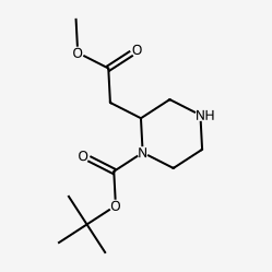 COC(=O)CC1CNCCN1C(=O)OC(C)(C)C